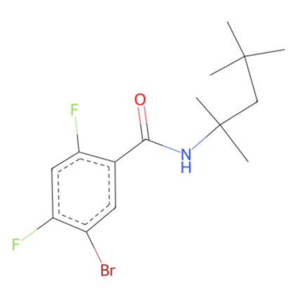 CC(C)(C)CC(C)(C)NC(=O)c1cc(Br)c(F)cc1F